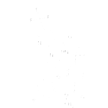 COC(=O)c1ccc(C2(NC(=O)c3cc(C(F)(F)F)cnc3N3CC(Oc4ccc(F)cc4)C3)CC2)cc1